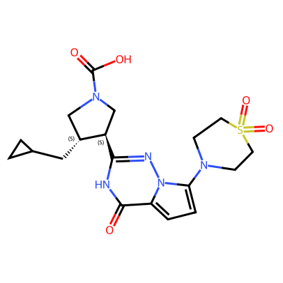 O=C(O)N1C[C@@H](CC2CC2)[C@H](c2nn3c(N4CCS(=O)(=O)CC4)ccc3c(=O)[nH]2)C1